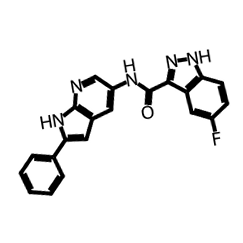 O=C(Nc1cnc2[nH]c(-c3ccccc3)cc2c1)c1n[nH]c2ccc(F)cc12